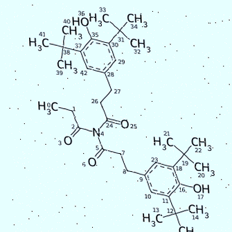 CCC(=O)N(C(=O)CCc1cc(C(C)(C)C)c(O)c(C(C)(C)C)c1)C(=O)CCc1cc(C(C)(C)C)c(O)c(C(C)(C)C)c1